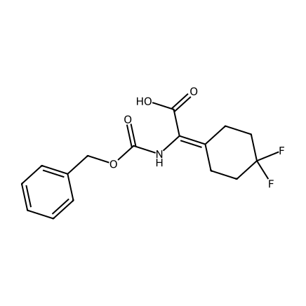 O=C(NC(C(=O)O)=C1CCC(F)(F)CC1)OCc1ccccc1